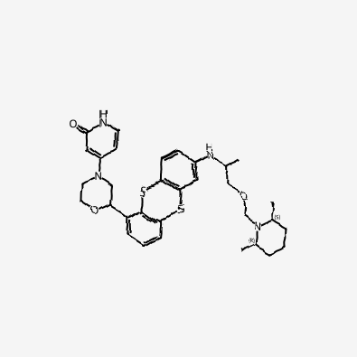 CC(COCN1[C@H](C)CCC[C@@H]1C)Nc1ccc2c(c1)Sc1cccc(C3CN(c4cc[nH]c(=O)c4)CCO3)c1S2